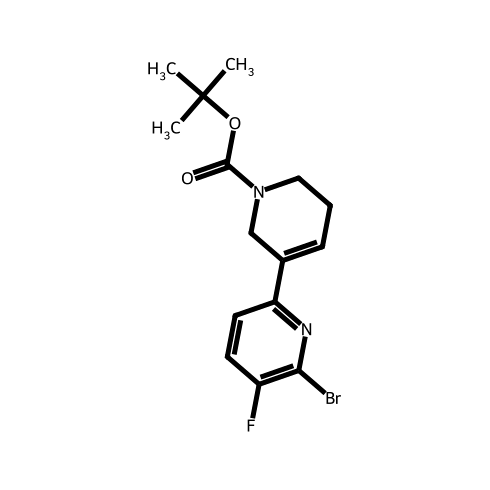 CC(C)(C)OC(=O)N1CCC=C(c2ccc(F)c(Br)n2)C1